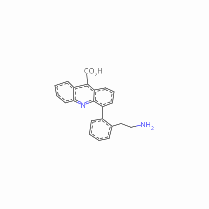 NCCc1ccccc1-c1cccc2c(C(=O)O)c3ccccc3nc12